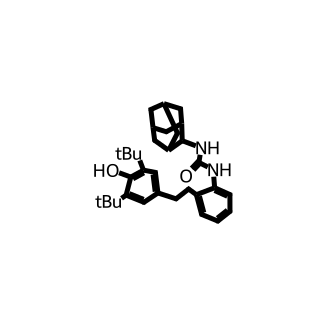 CC(C)(C)c1cc(CCc2ccccc2NC(=O)NC2C3CC4CC(C3)CC2C4)cc(C(C)(C)C)c1O